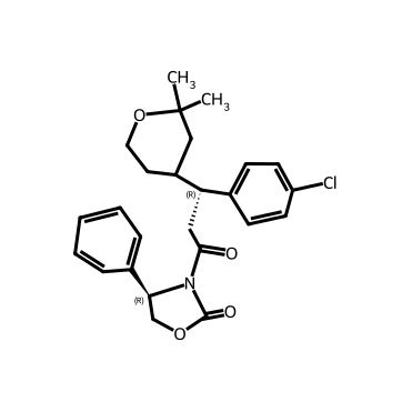 CC1(C)CC([C@@H](CC(=O)N2C(=O)OC[C@H]2c2ccccc2)c2ccc(Cl)cc2)CCO1